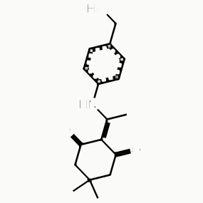 CC(Nc1ccc(CO)cc1)=C1C(=O)CC(C)(C)CC1=O